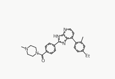 CCc1ccc(-c2ccnc3[nH]c(-c4ccc(C(=O)N5CCN(C)CC5)cc4)nc23)c(C)c1